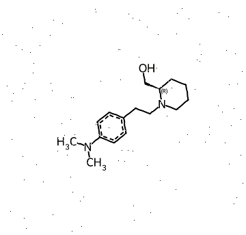 CN(C)c1ccc(CCN2CCCC[C@@H]2CO)cc1